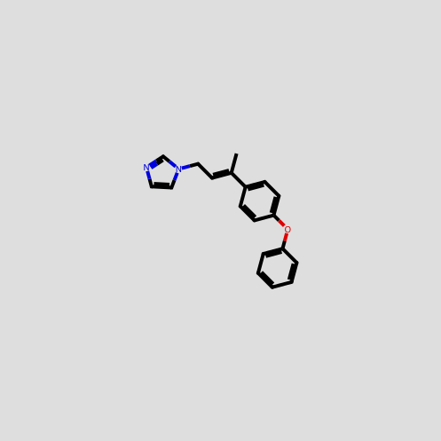 CC(=CCn1ccnc1)c1ccc(Oc2ccccc2)cc1